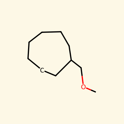 COCC1CCCCCCC1